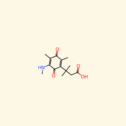 CNC1=C(C)C(=O)C(C)=C(C(C)(C)CC(=O)O)C1=O